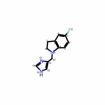 Fc1ccc2c(c1)CCN2Cc1c[nH]cn1